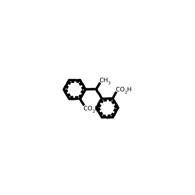 CC(c1ccccc1C(=O)O)c1ccccc1C(=O)O